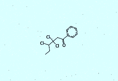 CCC(Cl)C(Cl)(Cl)CC(=O)c1ccccc1